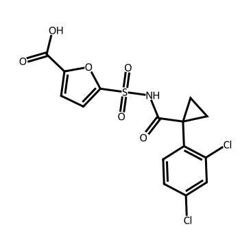 O=C(O)c1ccc(S(=O)(=O)NC(=O)C2(c3ccc(Cl)cc3Cl)CC2)o1